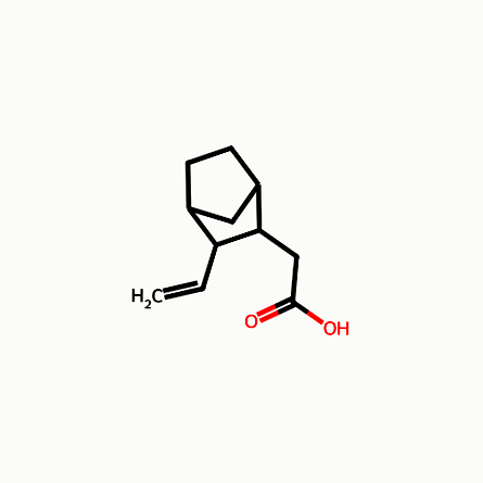 C=CC1C2CCC(C2)C1CC(=O)O